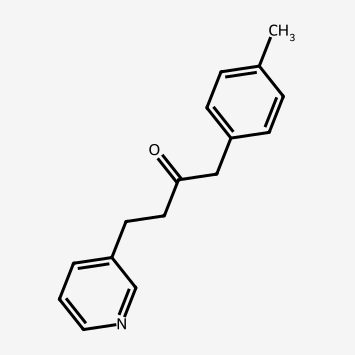 Cc1ccc(CC(=O)CCc2cccnc2)cc1